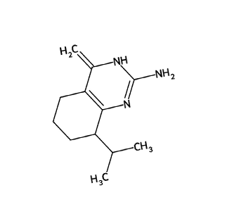 C=C1NC(N)=NC2=C1CCCC2C(C)C